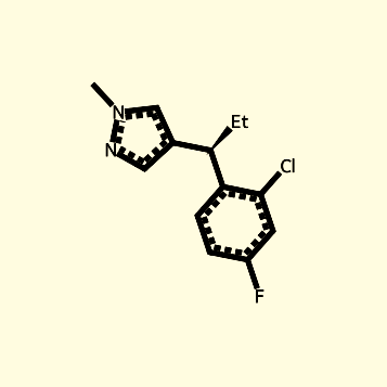 CC[C@H](c1cnn(C)c1)c1ccc(F)cc1Cl